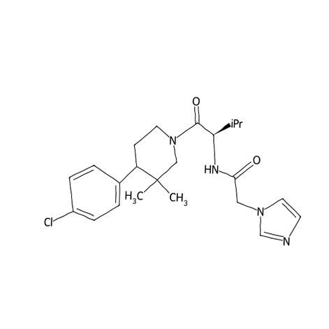 CC(C)[C@@H](NC(=O)Cn1ccnc1)C(=O)N1CCC(c2ccc(Cl)cc2)C(C)(C)C1